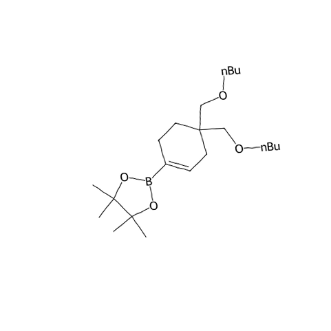 CCCCOCC1(COCCCC)CC=C(B2OC(C)(C)C(C)(C)O2)CC1